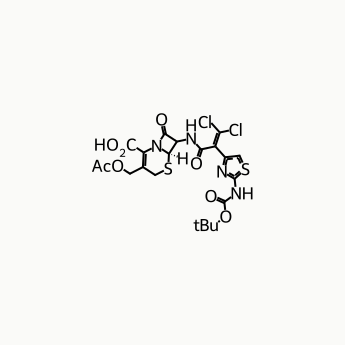 CC(=O)OCC1=C(C(=O)O)N2C(=O)C(NC(=O)C(=C(Cl)Cl)c3csc(NC(=O)OC(C)(C)C)n3)[C@H]2SC1